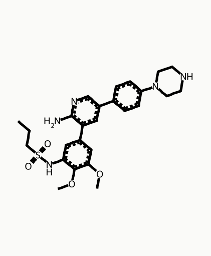 CCCS(=O)(=O)Nc1cc(-c2cc(-c3ccc(N4CCNCC4)cc3)cnc2N)cc(OC)c1OC